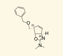 CN(C)C1=N[C@@H]2C=C[C@@H](COCc3ccccc3)C2O1